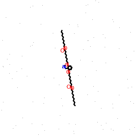 CCCCCCCCCCOC(=O)CCCCCCCOc1cccc(OCCCCCCCC(=O)OCCCCCCCCCC)c1CN(C)C